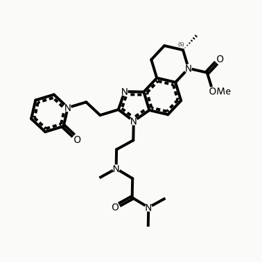 COC(=O)N1c2ccc3c(nc(CCn4ccccc4=O)n3CCN(C)CC(=O)N(C)C)c2CC[C@@H]1C